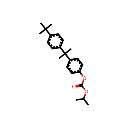 CC(C)OC(=O)Oc1ccc(C(C)(C)c2ccc(C(C)(C)C)cc2)cc1